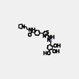 O=C(NCCN1CCCC1)c1ccc(-c2csc(N/N=C/c3ccc(O)c(O)c3O)n2)cc1